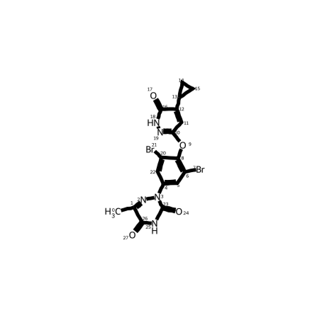 Cc1nn(-c2cc(Br)c(Oc3cc(C4CC4)c(=O)[nH]n3)c(Br)c2)c(=O)[nH]c1=O